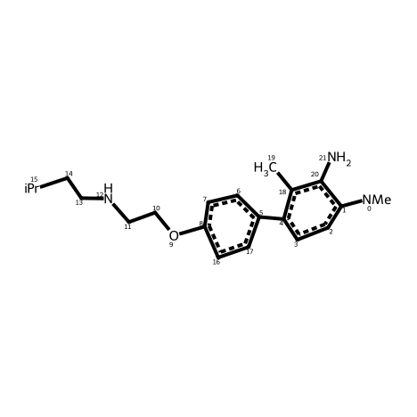 CNc1ccc(-c2ccc(OCCNCCC(C)C)cc2)c(C)c1N